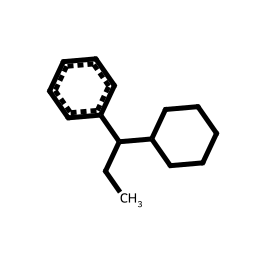 CCC(c1ccccc1)C1CCCCC1